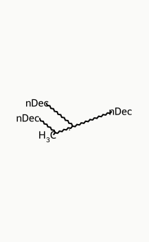 CCCCCCCCCCCCCCCCCCCCCCCCCCCC(CC[CH]CCCCC(C)CCCCCCCCCCCCCCCCCCC)CCCCCCCCCCCCCCCCCCCCCCCC